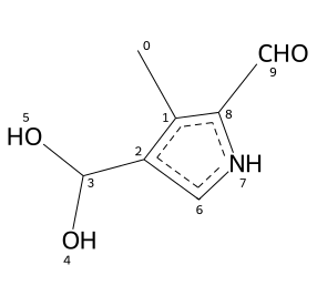 Cc1c(C(O)O)c[nH]c1C=O